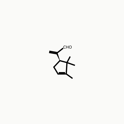 C=C(C=O)[C@@H]1CC=C(C)C1(C)C